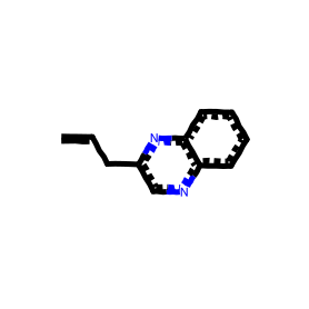 C=CCc1cnc2ccccc2n1